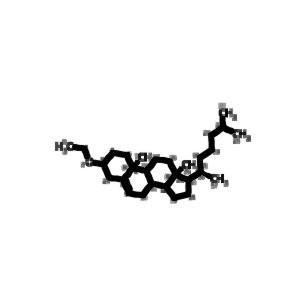 CCOC1CC[C@@]2(C)C(=CCC3C4CCC([C@H](C)CCCC(C)C)[C@@]4(C)CCC32)C1